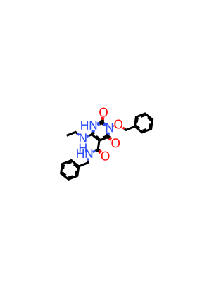 CCNc1[nH]c(=O)n(OCc2ccccc2)c(=O)c1C(=O)NCc1ccccc1